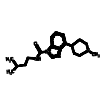 CC(C)CCNC(=O)n1cnc2c(C3CCN(C)CC3)cccc21